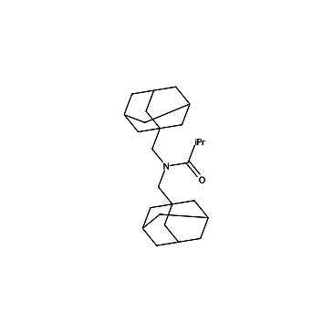 CC(C)C(=O)N(CC12CC3CC(CC(C3)C1)C2)CC12CC3CC(CC(C3)C1)C2